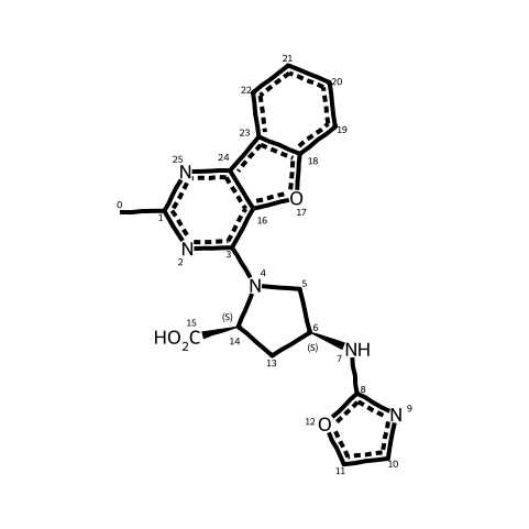 Cc1nc(N2C[C@@H](Nc3ncco3)C[C@H]2C(=O)O)c2oc3ccccc3c2n1